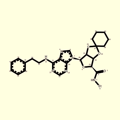 CCNC(=O)[C@H]1O[C@@H](n2cnc3c(NCCc4ccccc4)ncnc32)C2OC3(CCCCC3)OC21